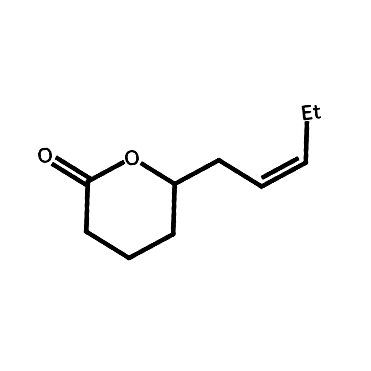 CC/C=C\CC1CCCC(=O)O1